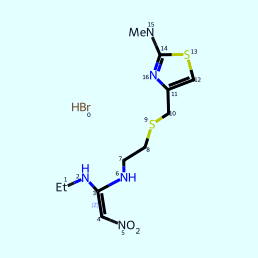 Br.CCN/C(=C/[N+](=O)[O-])NCCSCc1csc(NC)n1